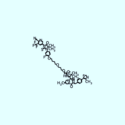 Cc1ncsc1-c1ccc(CNC(=O)[C@@H]2C[C@@H](C)CN2C(=O)[C@@H](NC(=O)COCCCOCCCCOc2ccc(N3C(=S)N(c4cnc(C#N)c(C(F)(F)F)c4)C(=O)C3(C)C)cc2F)C(C)(C)C)cc1